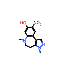 CN1CCc2c(cnn2C)-c2cc([N+](=O)[O-])c(O)cc21